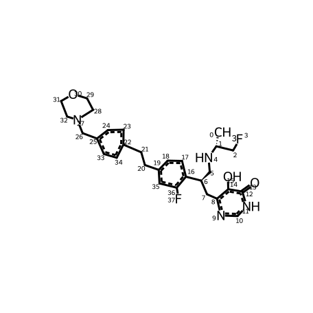 C[C@H](CF)NC[C@@H](Cc1nc[nH]c(=O)c1O)c1ccc(CCc2ccc(CN3CCOCC3)cc2)cc1F